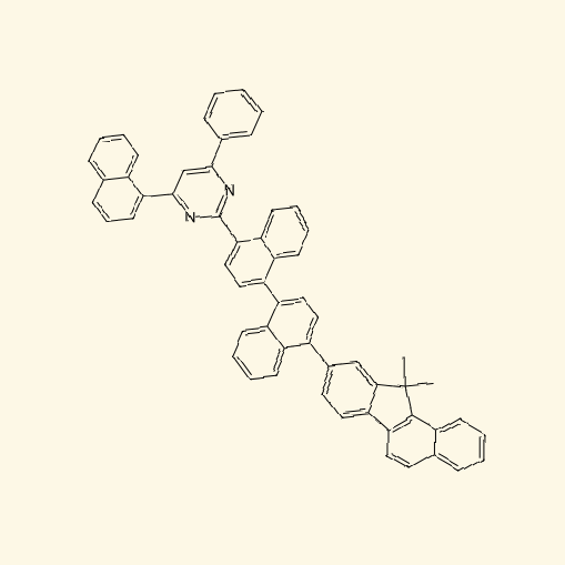 CC1(C)c2cc(-c3ccc(-c4ccc(-c5nc(-c6ccccc6)cc(-c6cccc7ccccc67)n5)c5ccccc45)c4ccccc34)ccc2-c2ccc3ccccc3c21